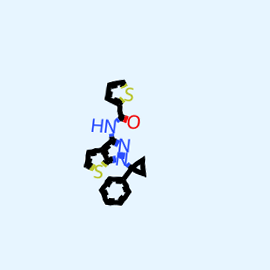 O=C(Nc1nn(C2(c3ccccc3)CC2)c2sccc12)c1cccs1